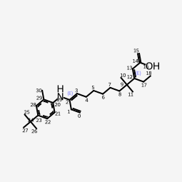 C=C/C(=C\CCCCCC(C)(C)/C(=C/C(=C)O)CC)Nc1ccc(C(C)(C)C)cc1C